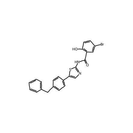 O=C(Nc1ncc(-c2ccc(Cc3ccccc3)cc2)s1)c1cc(Br)ccc1O